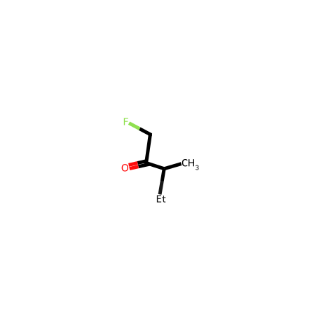 CCC(C)C(=O)CF